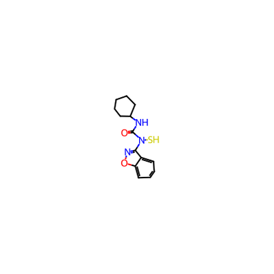 O=C(NC1CCCCC1)N(S)c1noc2ccccc12